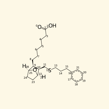 O=C(O)CCCCCC[C@H]1[C@@H](CSCCCc2ccccc2)[C@H]2CC[C@@H]1O2